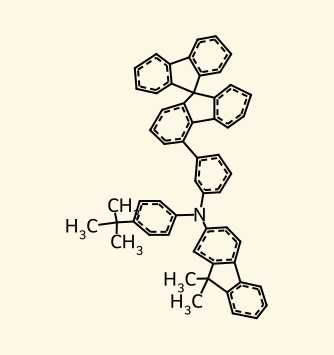 CC(C)(C)c1ccc(N(c2cccc(-c3cccc4c3-c3ccccc3C43c4ccccc4-c4ccccc43)c2)c2ccc3c(c2)C(C)(C)c2ccccc2-3)cc1